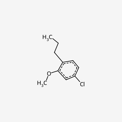 CCCc1ccc(Cl)cc1OC